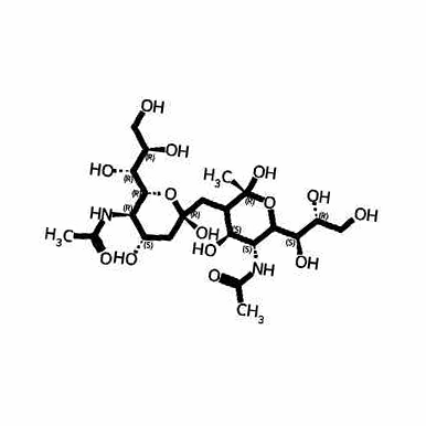 CC(=O)N[C@H]1[C@H]([C@H](O)[C@H](O)CO)O[C@](O)(CC2[C@H](O)[C@@H](NC(C)=O)[C]([C@H](O)[C@H](O)CO)O[C@@]2(C)O)C[C@@H]1O